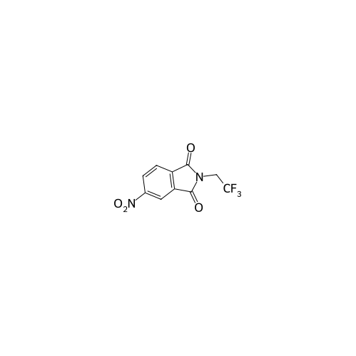 O=C1c2ccc([N+](=O)[O-])cc2C(=O)N1CC(F)(F)F